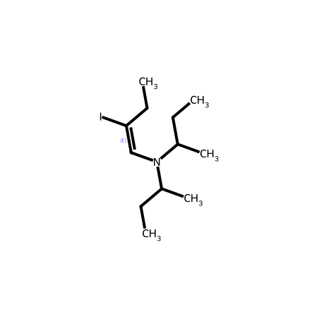 CC/C(I)=C\N(C(C)CC)C(C)CC